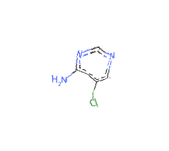 Nc1ncn[c]c1Cl